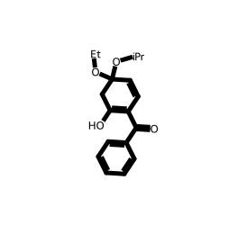 CCOC1(OC(C)C)C=CC(C(=O)c2ccccc2)=C(O)C1